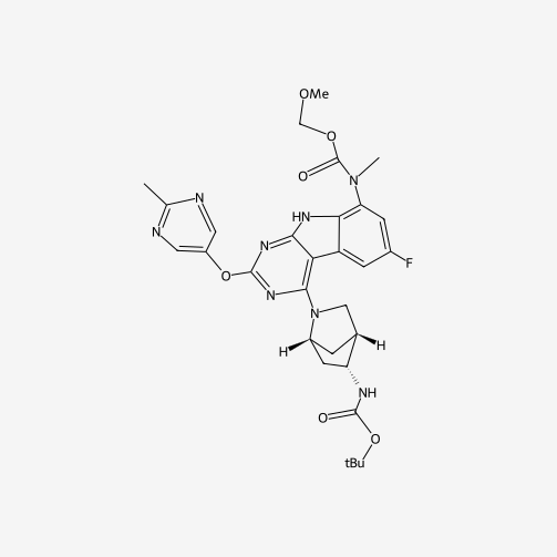 COCOC(=O)N(C)c1cc(F)cc2c1[nH]c1nc(Oc3cnc(C)nc3)nc(N3C[C@H]4C[C@@H]3C[C@H]4NC(=O)OC(C)(C)C)c12